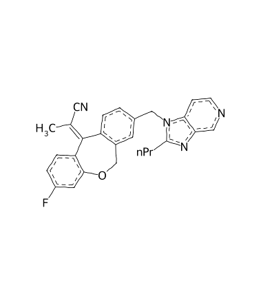 CCCc1nc2cnccc2n1Cc1ccc2c(c1)COc1cc(F)ccc1/C2=C(\C)C#N